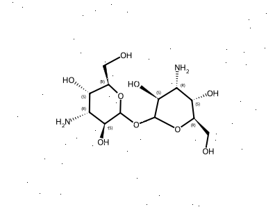 N[C@@H]1[C@H](O)[C@@H](CO)OC(OC2O[C@H](CO)[C@@H](O)[C@@H](N)[C@@H]2O)[C@H]1O